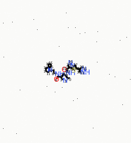 Cc1ncc(C(=O)NCCN2CCCC23CCC3)cc1NC(=O)c1cnn2cc(-c3cn[nH]c3)sc12